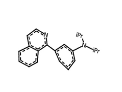 CC(C)N(c1cccc(-c2nccc3ccccc23)c1)C(C)C